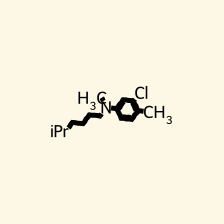 Cc1ccc(N(C)CCCCC(C)C)cc1Cl